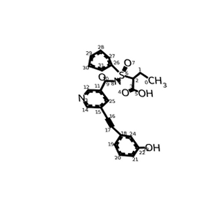 CCC(C(=O)O)S(=O)(=NC(=O)c1cncc(C#Cc2cccc(O)c2)c1)c1ccccc1